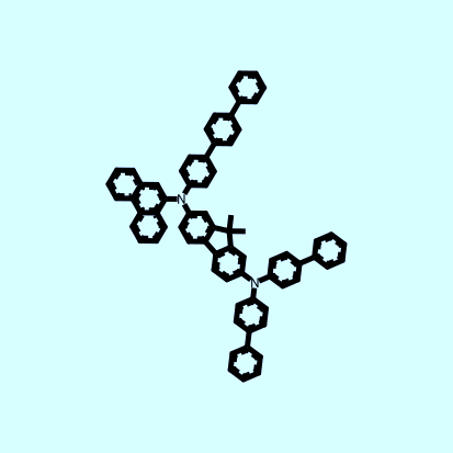 CC1(C)c2cc(N(c3ccc(-c4ccccc4)cc3)c3ccc(-c4ccccc4)cc3)ccc2-c2ccc(N(c3ccc(-c4ccc(-c5ccccc5)cc4)cc3)c3cc4ccccc4c4ccccc34)cc21